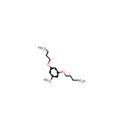 O=C(O)c1cc(OCCCS(=O)(=O)O)cc(OCCCS(=O)(=O)O)c1